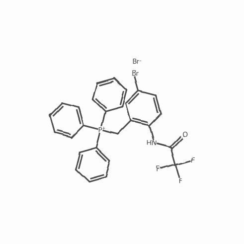 O=C(Nc1ccc(Br)cc1C[P+](c1ccccc1)(c1ccccc1)c1ccccc1)C(F)(F)F.[Br-]